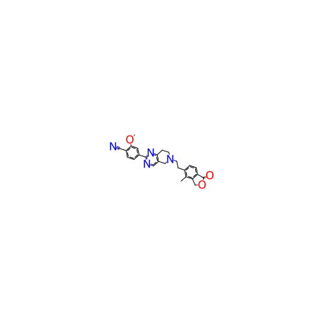 COc1cc(-c2ncc3c(n2)CCN(CCc2ccc4c(c2C)COC4=O)C3)ccc1C#N